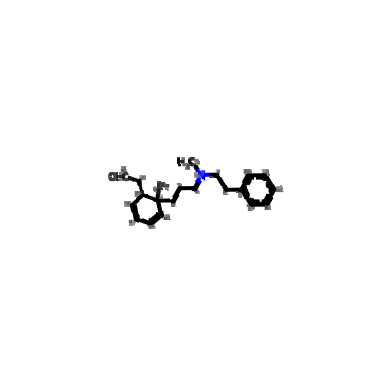 CC(C)C1(CCCN(C)CCc2ccccc2)C=CC=C[C@H]1CC=O